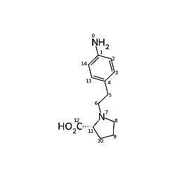 Nc1ccc(CCN2CCC[C@@H]2C(=O)O)cc1